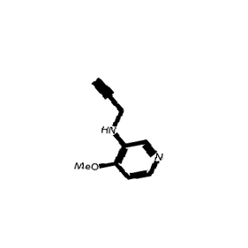 C#CCNc1cnccc1OC